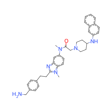 CN(C(=O)CN1CCC(Nc2ccc3ccccc3c2)CC1)c1ccc2c(c1)nc(CCc1ccc(CN)cc1)n2C